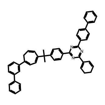 CC(C)(C1=CC=C(c2cccc(-c3ccccc3)c2)CC=C1)c1ccc(-c2nc(C3=CCCC=C3)nc(-c3ccc(-c4ccccc4)cc3)n2)cc1